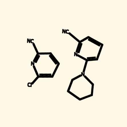 N#Cc1cccc(Cl)n1.N#Cc1cccc(N2CCCCC2)n1